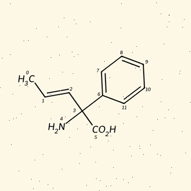 CC=CC(N)(C(=O)O)c1ccccc1